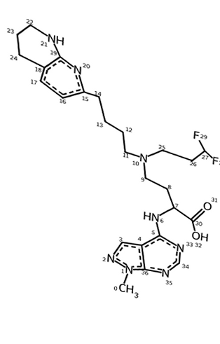 Cn1ncc2c(NC(CCN(CCCCc3ccc4c(n3)NCCC4)CCC(F)F)C(=O)O)ncnc21